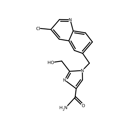 NC(=O)c1cn(Cc2ccc3ncc(Cl)cc3c2)c(CO)n1